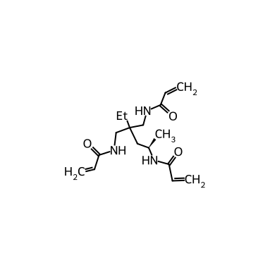 C=CC(=O)NCC(CC)(CNC(=O)C=C)C[C@@H](C)NC(=O)C=C